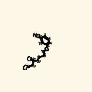 Oc1cccc(OCCCCC(Cl)CCl)c1